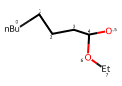 CCCCCCCC([O])OCC